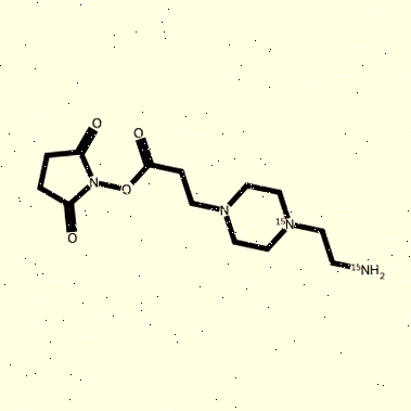 [15NH2]CC[15N]1CCN(CCC(=O)ON2C(=O)CCC2=O)CC1